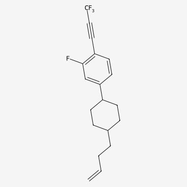 C=CCCC1CCC(c2ccc(C#CC(F)(F)F)c(F)c2)CC1